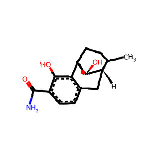 CC1CCC23CCCC[C@@]2(O)[C@H]1Cc1ccc(C(N)=O)c(O)c13